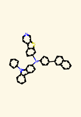 c1ccc(-n2c3ccccc3c3ccc(N(c4ccc(-c5ccc6ccccc6c5)cc4)c4ccc5c(c4)sc4cnccc45)cc32)cc1